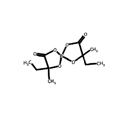 CCC1(C)O[B-]2(OC1=O)OC(=O)C(C)(CC)O2